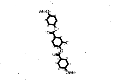 COC1CCC(OC(=O)C2CCC(OC(=O)C3CCC(OC)CC3)C(Cl)C2)CC1